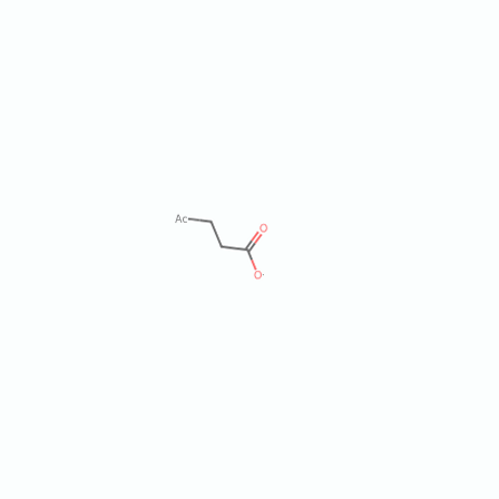 CC(=O)CCC([O])=O